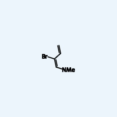 C=C/C(Br)=C\NC